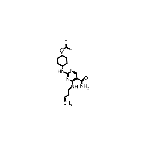 C=CCCNc1nc(N[C@H]2CC[C@H](OC(F)F)CC2)ncc1C(N)=O